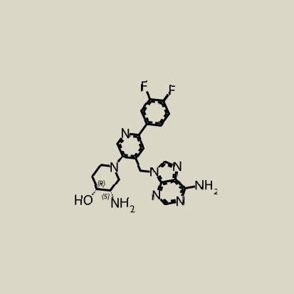 Nc1ncnc2c1ncn2Cc1cc(-c2ccc(F)c(F)c2)ncc1N1CC[C@@H](O)[C@@H](N)C1